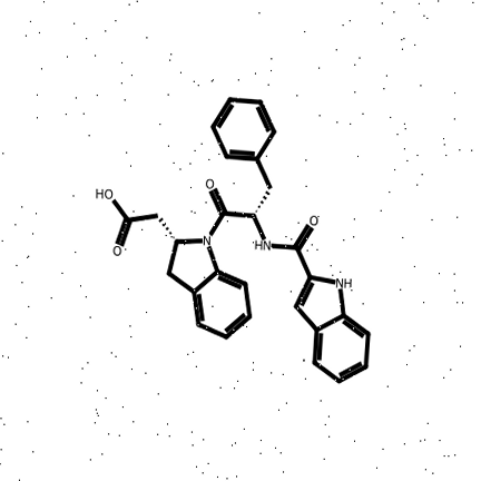 O=C(O)C[C@H]1Cc2ccccc2N1C(=O)[C@H](Cc1ccccc1)NC(=O)c1cc2ccccc2[nH]1